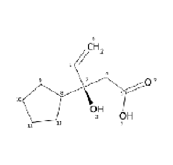 C=C[C@](O)(CC(=O)O)C1CCCC1